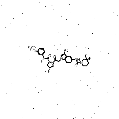 CC(=O)c1cn(CC(=O)N2C[C@H](F)C[C@H]2C(=O)N(F)c2cccc(OC(F)(F)F)c2)c2ccc(NC(=O)N3CCCC(F)(F)C3)cc12